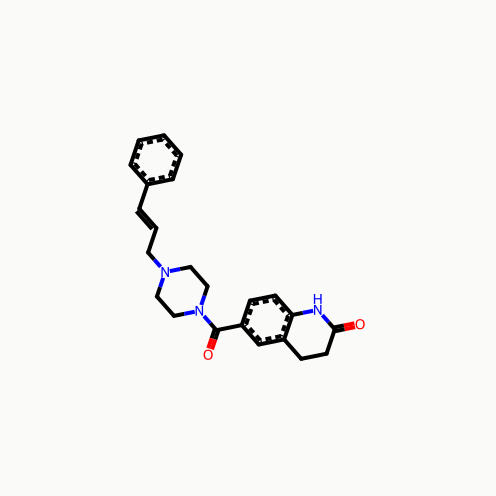 O=C1CCc2cc(C(=O)N3CCN(C/C=C/c4ccccc4)CC3)ccc2N1